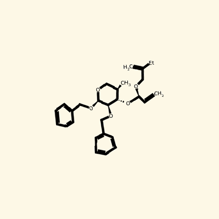 C=C[C@H](OCC(=C)CC)O[C@@H]1[C@@H](OCc2ccccc2)[C@@H](OCc2ccccc2)OC[C@H]1C